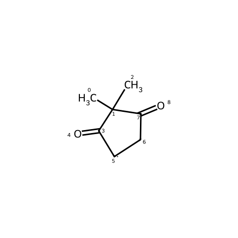 CC1(C)C(=O)[CH]CC1=O